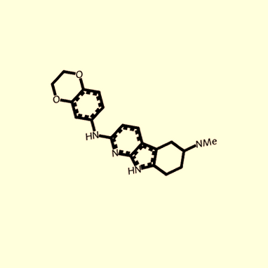 CNC1CCc2[nH]c3nc(Nc4ccc5c(c4)OCCO5)ccc3c2C1